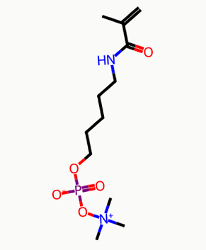 C=C(C)C(=O)NCCCCCOP(=O)([O-])O[N+](C)(C)C